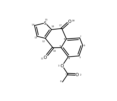 CC(=O)Oc1cccc2c1C(=O)c1ccsc1C2=O